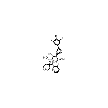 OC[C@@H]1[C@H](O)[C@@H](n2cc(-c3cc(F)c(F)c(F)c3)nn2)[C@@H](O)C[SH]1[C@H](c1ncccc1C(F)(F)F)C1(O)CCOCC1